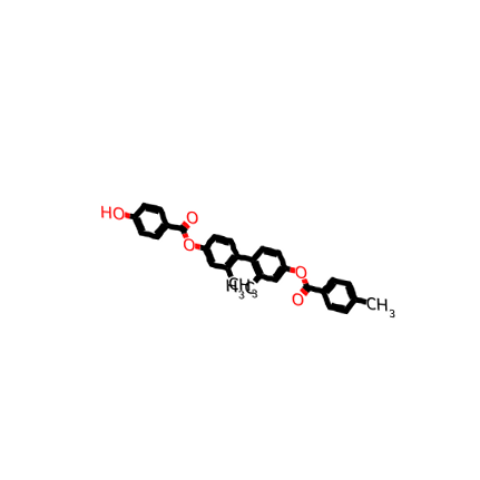 Cc1ccc(C(=O)Oc2ccc(-c3ccc(OC(=O)c4ccc(O)cc4)cc3C)c(C)c2)cc1